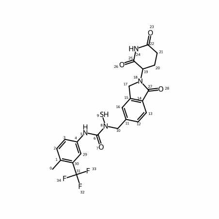 Cc1ccc(NC(=O)N(S)Cc2ccc3c(c2)CN(C2CCC(=O)NC2=O)C3=O)cc1C(F)(F)F